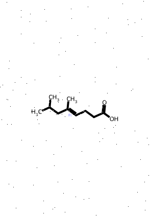 C/C(=C\CCC(=O)O)CC(C)C